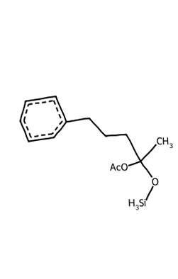 CC(=O)OC(C)(CCCc1ccccc1)O[SiH3]